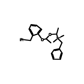 CC(C)Cc1ccccc1OC(C)OC(C)[N+](C)(C)Cc1ccccc1